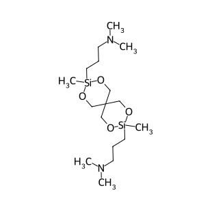 CN(C)CCC[Si]1(C)OCC2(CO1)CO[Si](C)(CCCN(C)C)OC2